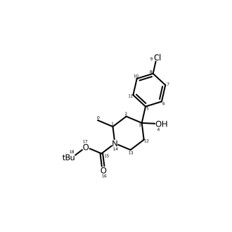 CC1CC(O)(c2ccc(Cl)cc2)CCN1C(=O)OC(C)(C)C